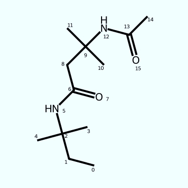 CCC(C)(C)NC(=O)CC(C)(C)NC(C)=O